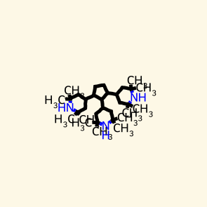 CC1(C)CC(C2CCC(C3CC(C)(C)NC(C)(C)C3)C2C2CC(C)(C)NC(C)(C)C2)CC(C)(C)N1